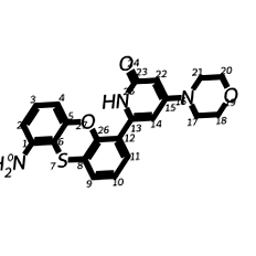 Nc1cccc2c1Sc1cccc(-c3cc(N4CCOCC4)cc(=O)[nH]3)c1O2